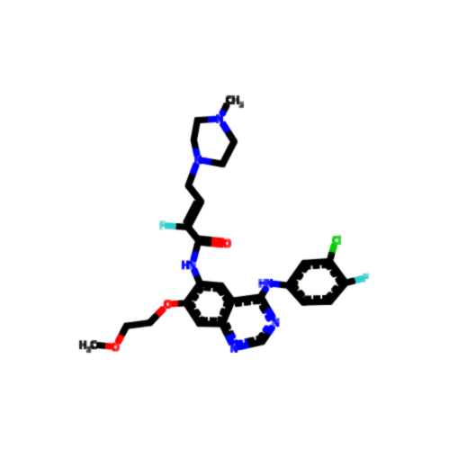 COCCOc1cc2ncnc(Nc3ccc(F)c(Cl)c3)c2cc1NC(=O)C(F)=CCN1CCN(C)CC1